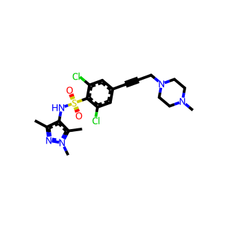 Cc1nn(C)c(C)c1NS(=O)(=O)c1c(Cl)cc(C#CCN2CCN(C)CC2)cc1Cl